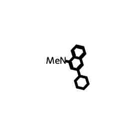 CNc1cc(C2CCCCC2)cc2ccccc12